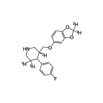 [2H]C1([2H])Oc2ccc(OC[C@@]3([2H])CNCC([2H])([2H])C3c3ccc(F)cc3)cc2O1